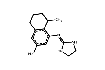 Cc1cc2c(c(N=C3NCCN3)c1)C(C)CCC2